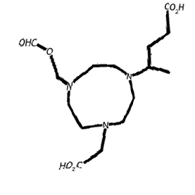 CC(CCC(=O)O)N1CCN(COC=O)CCN(CC(=O)O)CC1